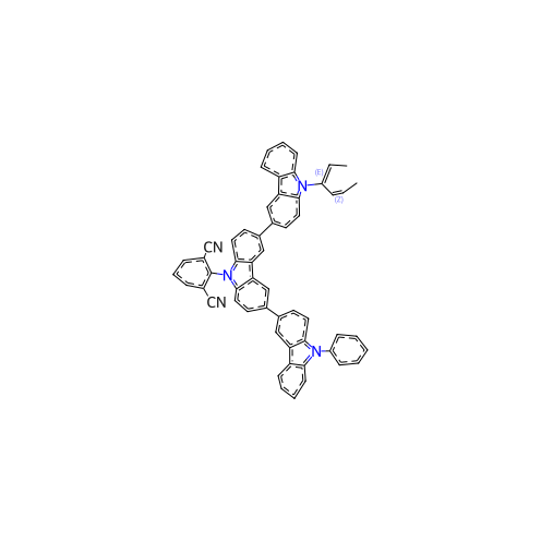 C/C=C\C(=C/C)n1c2ccccc2c2cc(-c3ccc4c(c3)c3cc(-c5ccc6c(c5)c5ccccc5n6-c5ccccc5)ccc3n4-c3c(C#N)cccc3C#N)ccc21